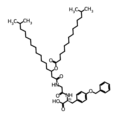 CC(C)CCCCCCCCCCCC(=O)OC(CCCCCCCCCCCC(C)C)CC(=O)NCC(=O)N[C@@H](Cc1ccc(OCc2ccccc2)cc1)C(=O)O